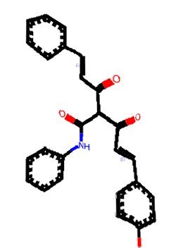 O=C(/C=C/c1ccccc1)C(C(=O)/C=C/c1ccc(O)cc1)C(=O)Nc1ccccc1